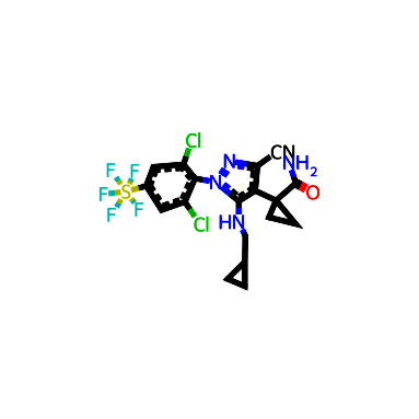 N#Cc1nn(-c2c(Cl)cc(S(F)(F)(F)(F)F)cc2Cl)c(NCC2CC2)c1C1(C(N)=O)CC1